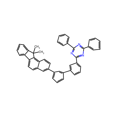 CC1(C)c2ccccc2-c2ccc3cc(-c4cccc(-c5cccc(-c6nc(-c7ccccc7)nc(-c7ccccc7)n6)c5)c4)ccc3c21